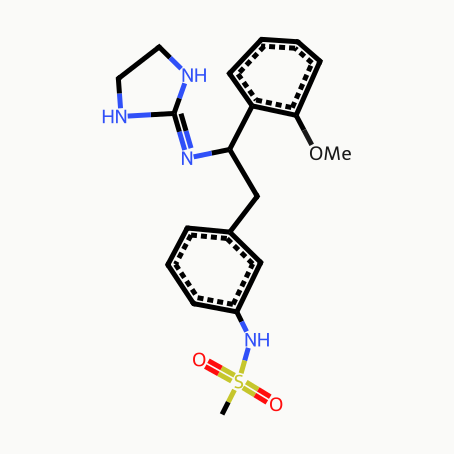 COc1ccccc1C(Cc1cccc(NS(C)(=O)=O)c1)N=C1NCCN1